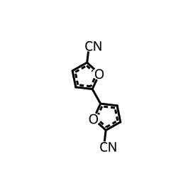 N#Cc1ccc(-c2ccc(C#N)o2)o1